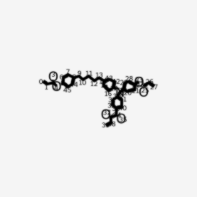 C=CC(=O)Oc1ccc(CCCCCc2ccc(N(c3ccc(OC(=O)C=C)cc3)c3ccc(C(=O)C(=O)C=C)cc3)cc2)cc1